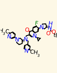 Cc1ccc(N2CCC[C@H](N(Cc3ccnc(C)c3)Cc3cn(C4CC4)c4cc(N5CC[C@H](NC(=O)OC(C)(C)C)C5)c(F)cc4c3=O)C2)cn1